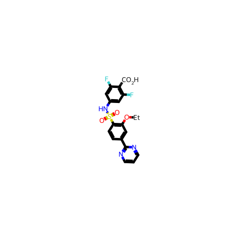 CCOc1cc(-c2ncccn2)ccc1S(=O)(=O)Nc1cc(F)c(C(=O)O)c(F)c1